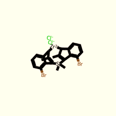 CC1=C2c3c(Br)cccc3[CH]1[Zr+2][CH]1C(C)=C(c3c(Br)cccc31)[Si]2(C)C.[Cl-].[Cl-]